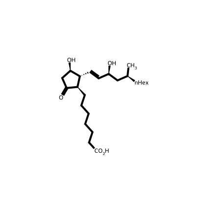 CCCCCC[C@H](C)C[C@H](O)C=C[C@H]1[C@H](O)CC(=O)[C@@H]1CCCCCCC(=O)O